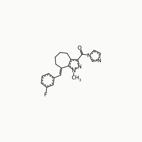 Cn1nc(C(=O)n2ccnc2)c2c1/C(=C/c1cccc(F)c1)CCCC2